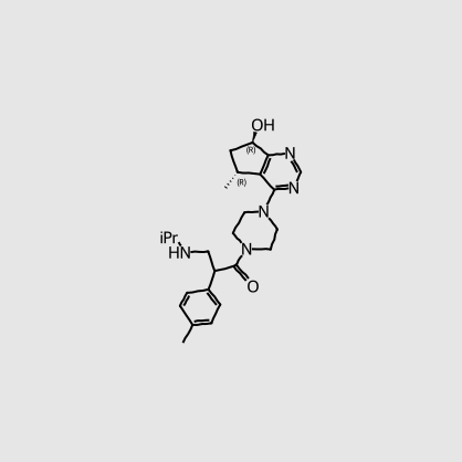 Cc1ccc(C(CNC(C)C)C(=O)N2CCN(c3ncnc4c3[C@H](C)C[C@H]4O)CC2)cc1